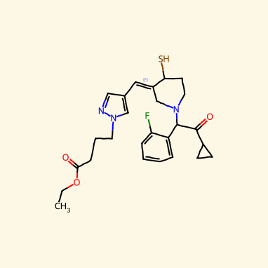 CCOC(=O)CCCn1cc(/C=C2\CN(C(C(=O)C3CC3)c3ccccc3F)CCC2S)cn1